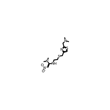 CN(C)Cc1nc(CSCCNC(=C[N+](=O)[O-])N(C)C)cs1